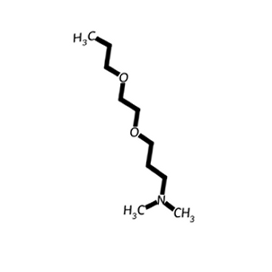 CCCOCCOCCCN(C)C